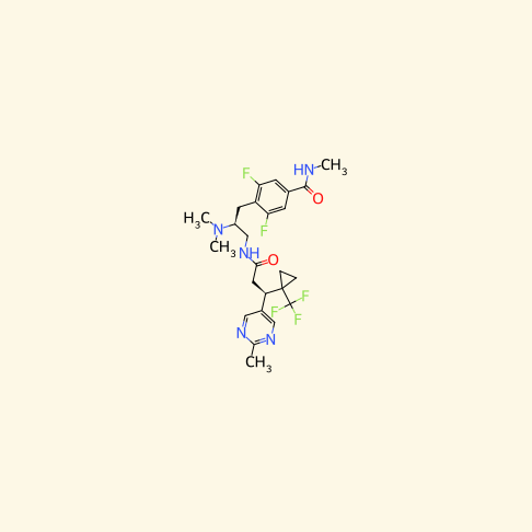 CNC(=O)c1cc(F)c(C[C@@H](CNC(=O)C[C@H](c2cnc(C)nc2)C2(C(F)(F)F)CC2)N(C)C)c(F)c1